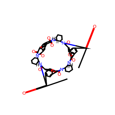 O=C1c2ccc3c4c5ccc(c24)C(=O)N1C1CCCC[C@@H]1N1C(=O)c2ccc4c6c(ccc(c26)C1=O)C(=O)N(C4=O)C1CCCC[C@@H]1N1C(=O)c2ccc4c6c(ccc(c26)C1=O)C(=O)N(C4=O)C1CCCC[C@@H]1N(C3=O)C5=O